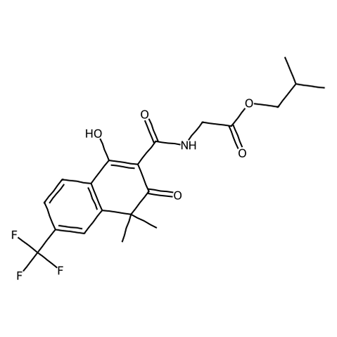 CC(C)COC(=O)CNC(=O)C1=C(O)c2ccc(C(F)(F)F)cc2C(C)(C)C1=O